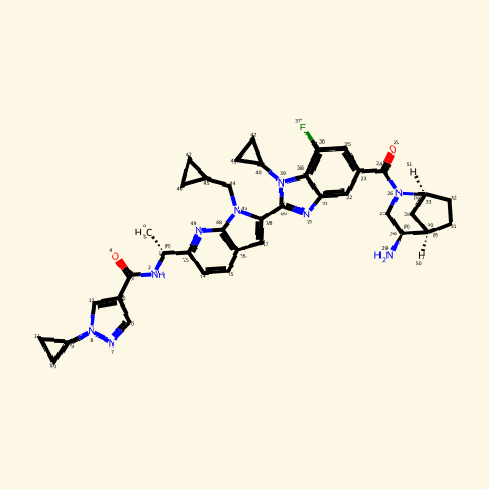 C[C@@H](NC(=O)c1cnn(C2CC2)c1)c1ccc2cc(-c3nc4cc(C(=O)N5C[C@H](N)[C@@H]6CC[C@H]5C6)cc(F)c4n3C3CC3)n(CC3CC3)c2n1